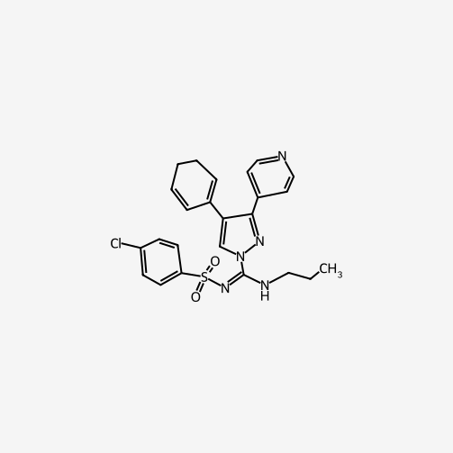 CCCNC(=NS(=O)(=O)c1ccc(Cl)cc1)n1cc(C2=CCCC=C2)c(-c2ccncc2)n1